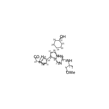 COC[C@H](C)Nc1ncc2c(-c3cnn(CC(=O)O)c3)cc([C@H]3CC[C@H](O)CC3)n2n1